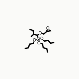 CCCCO[Si](OCCCC)(OCCCC)C(OCC1CO1)C(C)CC